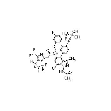 CC(=O)Nc1nn(C)c2c(-c3ccc(C#CC(C)(C)O)nc3[C@H](Cc3cc(F)cc(F)c3)NC(=O)Cn3nc(C(F)F)c4c3C(F)(F)[C@@H]3C[C@H]43)ccc(Cl)c12